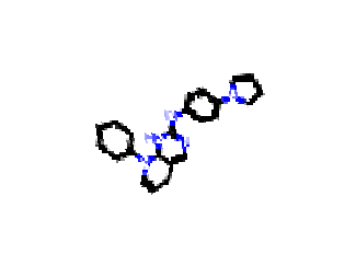 C1=CN(C2CCCCC2)C2NC(Nc3ccc(N4CCCC4)cc3)=NC=C2C1